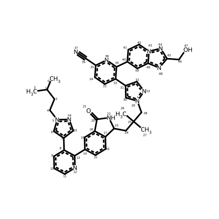 CC(C)CCn1cc(-c2cccnc2-c2ccc3c(c2)C(=O)NC3CC(C)(C)Cn2cc(-c3ccc(C#N)nc3-c3ccn4nc(CO)nc4c3)cn2)cn1